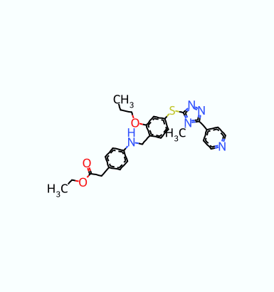 CCCOc1cc(Sc2nnc(-c3ccncc3)n2C)ccc1CNc1ccc(CC(=O)OCC)cc1